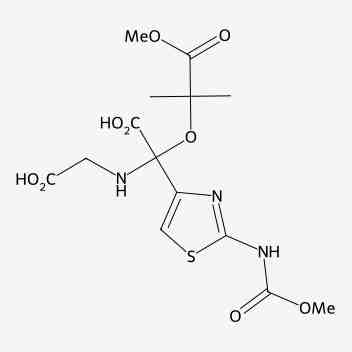 COC(=O)Nc1nc(C(NCC(=O)O)(OC(C)(C)C(=O)OC)C(=O)O)cs1